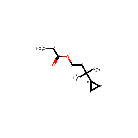 CC(C)(CCOC(=O)CC(=O)O)C1CC1